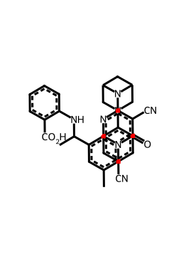 Cc1cc(C(C)Nc2ccccc2C(=O)O)c2nc(N3C4CC3CN(c3ccc(C#N)cc3)C4)c(C#N)c(=O)n2c1